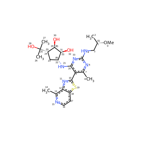 CO[C@@H](C)CNc1nc(C)c(-c2nc3c(C)nccc3s2)c(N[C@@H]2C[C@H](C(C)(C)O)[C@@H](O)[C@H]2O)n1